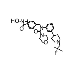 CC(C)(F)CN1CCC(c2cccc(N(Cc3ccc(C(=O)NO)cc3)C(=O)N3CCOCC3)c2)CC1